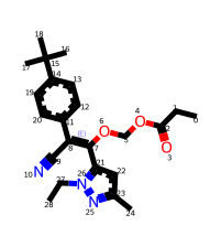 CCC(=O)OCO/C(=C(/C#N)c1ccc(C(C)(C)C)cc1)c1cc(C)nn1CC